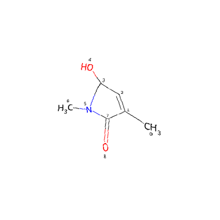 CC1=CC(O)N(C)C1=O